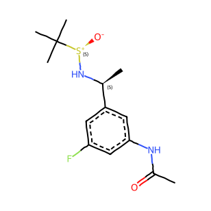 CC(=O)Nc1cc(F)cc([C@H](C)N[S@+]([O-])C(C)(C)C)c1